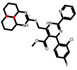 COC(=O)C1=C(CS/C(=N/C2CCCCC2)NC2CCCCC2)NC(c2ccccn2)=NC1c1ccc(F)cc1Cl